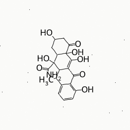 CC1c2cccc(O)c2C(=O)C2=C(O)C3(O)C(=O)CC(O)CC3C(O)(C(N)=O)C21